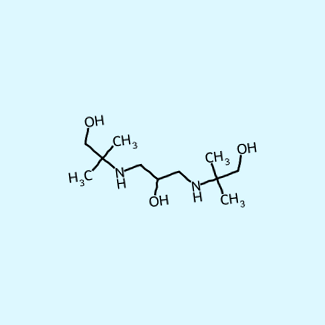 CC(C)(CO)NCC(O)CNC(C)(C)CO